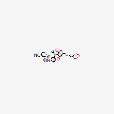 N#Cc1ccnc(S(=O)(=O)Nc2cccc(C(c3c(O)cc(CCCCC4CCOCC4)oc3=O)C3CC3)c2)c1